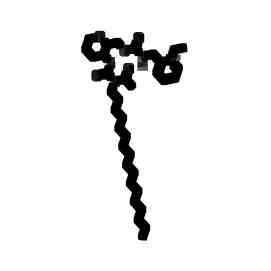 CCCCCCCCCCCCCCCCCN(C(C)=O)C(=O)SC1CCCOC1COC(=O)NCc1cccc[n+]1CC